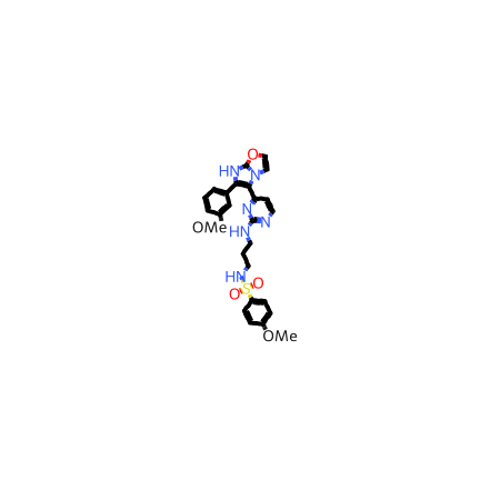 COc1ccc(S(=O)(=O)NCCCNc2nccc(C3=C(c4cccc(OC)c4)NC4OC=CN34)n2)cc1